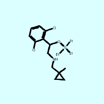 CC[Si](CC)(CC)OC(CNCC1(C)CC1)c1c(Cl)cccc1Cl